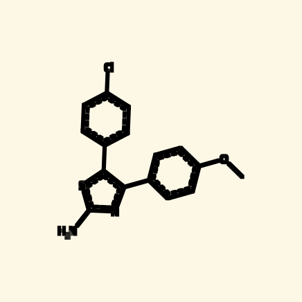 COc1ccc(-c2nc(N)sc2-c2ccc(Cl)cc2)cc1